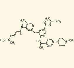 C=C(Nc1ncc(C(=O)OC(C)C)cc1Cc1ccc(C)c(NC(=O)/C=C/CN(C)C)c1)c1ccc(N2CCN(C)CC2)cc1